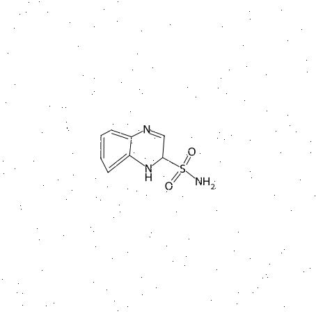 NS(=O)(=O)C1C=Nc2ccccc2N1